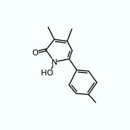 Cc1ccc(-c2cc(C)c(C)c(=O)n2O)cc1